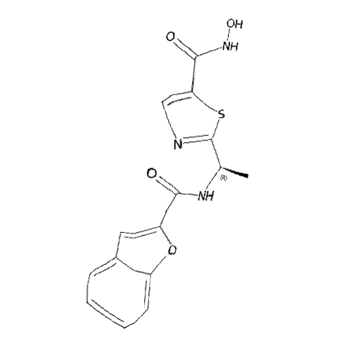 C[C@@H](NC(=O)c1cc2ccccc2o1)c1ncc(C(=O)NO)s1